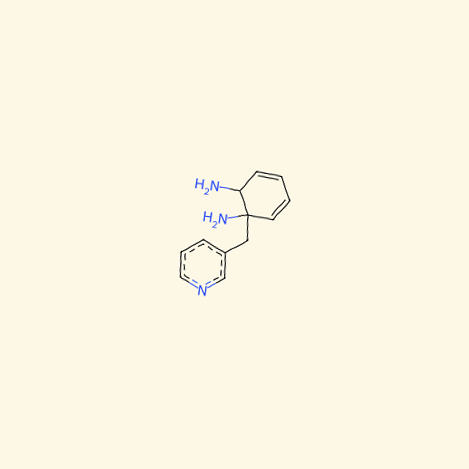 NC1C=CC=CC1(N)Cc1cccnc1